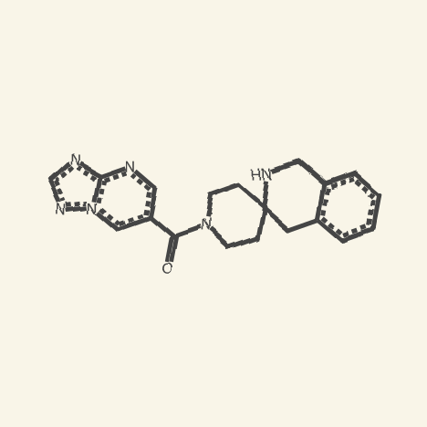 O=C(c1cnc2ncnn2c1)N1CCC2(CC1)Cc1ccccc1CN2